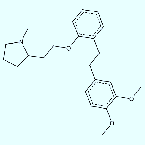 COc1ccc(CCc2ccccc2OCCC2CCCN2C)cc1OC